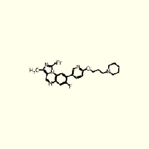 Cc1nc(C(C)C)n2c1cnc1cc(F)c(-c3ccc(OCCCN4CCCCC4)nc3)cc12